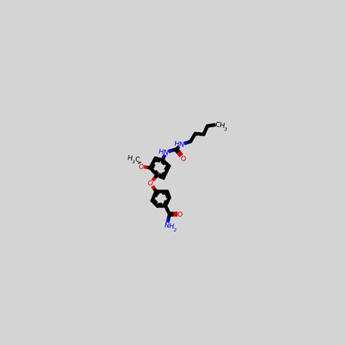 CCCCCNC(=O)Nc1ccc(Oc2ccc(C(N)=O)cc2)c(OC)c1